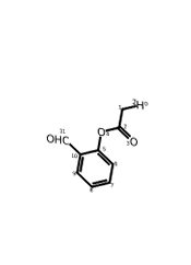 [2H]CC(=O)Oc1ccccc1C=O